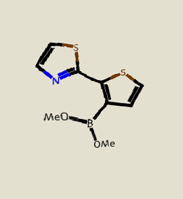 COB(OC)c1ccsc1-c1nccs1